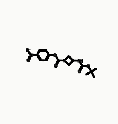 CC(C)(C)OC(=O)NC1CN(C(=O)Oc2ccc([N+](=O)[O-])cc2)C1